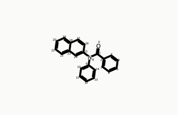 O=C(c1ccccc1)N(c1ccccc1)c1ccc2ccccc2c1